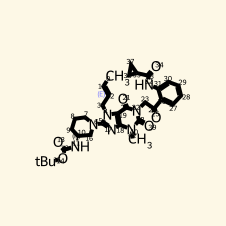 C/C=C/Cn1c(N2CCC[C@@H](NC(=O)OC(C)(C)C)C2)nc2c1c(=O)n(CC(=O)c1ccccc1NC(=O)C1CC1)c(=O)n2C